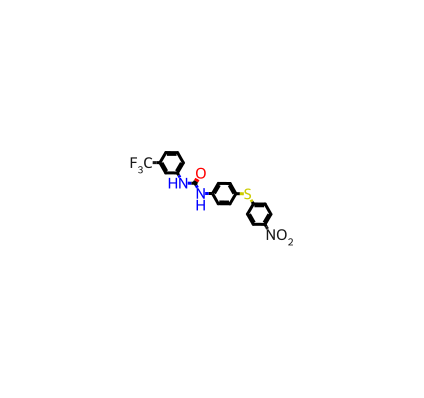 O=C(Nc1ccc(Sc2ccc([N+](=O)[O-])cc2)cc1)Nc1cccc(C(F)(F)F)c1